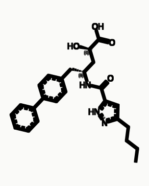 CCCCc1cc(C(=O)N[C@H](Cc2ccc(-c3ccccc3)cc2)C[C@@H](O)C(=O)O)[nH]n1